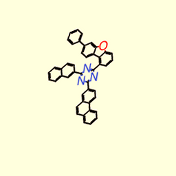 c1ccc(-c2ccc3c(c2)oc2cccc(-c4nc(-c5ccc6ccccc6c5)nc(-c5ccc6c(ccc7ccccc76)c5)n4)c23)cc1